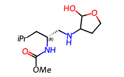 COC(=O)N[C@@H](CNC1CCOC1O)CC(C)C